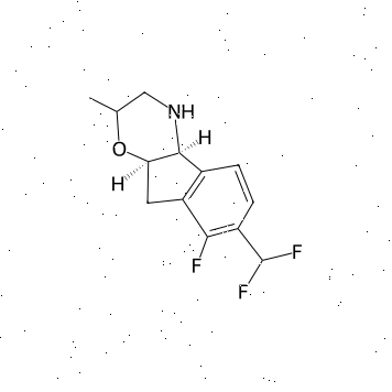 CC1CN[C@H]2c3ccc(C(F)F)c(F)c3C[C@H]2O1